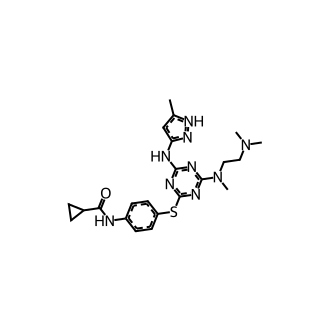 Cc1cc(Nc2nc(Sc3ccc(NC(=O)C4CC4)cc3)nc(N(C)CCN(C)C)n2)n[nH]1